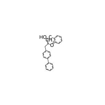 C=C(Cc1ccc(-c2ccccc2)cc1)Oc1ccccc1C(=O)O